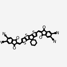 N#Cc1cc2c(cc1C#N)C(=O)C(=Cc1cc3c(s1)-c1sc4cc(C=C5C(=O)c6cc(C#N)c(C#N)cc6C5=O)sc4c1C31CCCCC1)C2=O